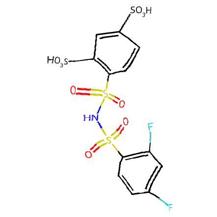 O=S(=O)(O)c1ccc(S(=O)(=O)NS(=O)(=O)c2ccc(F)cc2F)c(S(=O)(=O)O)c1